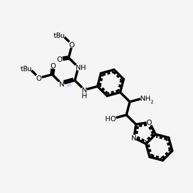 CC(C)(C)OC(=O)/N=C(\NC(=O)OC(C)(C)C)Nc1cccc(C(N)C(O)c2nc3ccccc3o2)c1